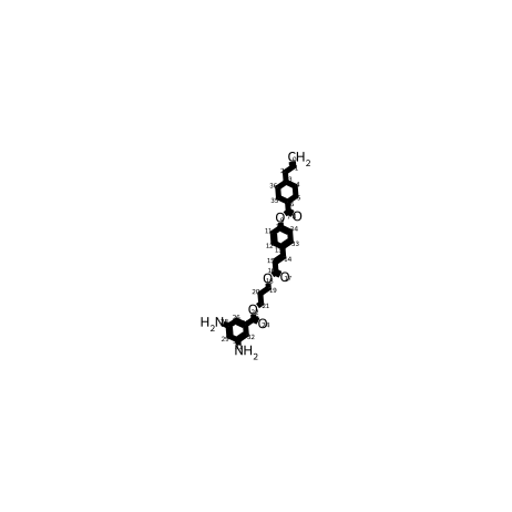 C=CCC1CCC(C(=O)Oc2ccc(C=CC(=O)OCCCOC(=O)c3cc(N)cc(N)c3)cc2)CC1